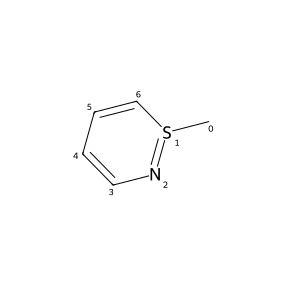 CS1=NC=CC=C1